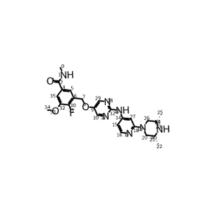 CNC(=O)c1cc(COc2cnc(Nc3ccnc(N4C[C@@H](C)N[C@@H](C)C4)c3)nc2)c(F)c(OC)c1